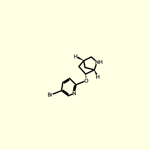 Brc1ccc(O[C@@H]2C[C@@H]3CN[C@H]2C3)nc1